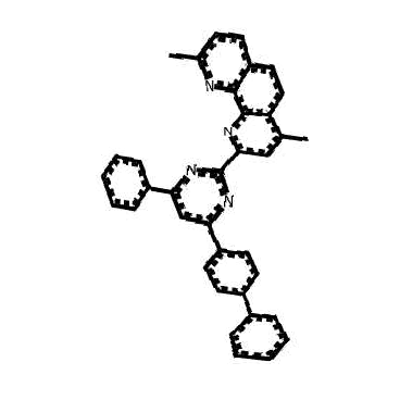 Cc1ccc2ccc3c(C)cc(-c4nc(-c5ccccc5)cc(-c5ccc(-c6ccccc6)cc5)n4)nc3c2n1